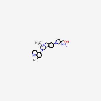 C[C@@H]1CN(c2ccc(C#N)c3ncccc23)CC2c3ccc(N4CCC(N)(CO)C4)cc3CN21